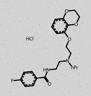 CCCN(CCNC(=O)c1ccc(F)cc1)CCOc1cccc2c1OCCO2.Cl